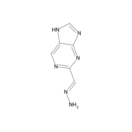 NN=Cc1ncc2[nH]cnc2n1